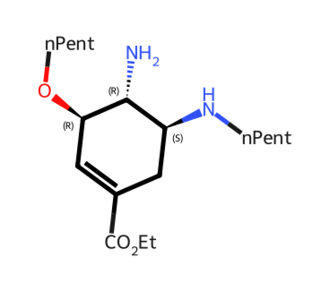 CCCCCN[C@H]1CC(C(=O)OCC)=C[C@@H](OCCCCC)[C@@H]1N